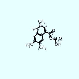 Cc1cc2c(cc1C)C([PH](=O)OCO)=CN(C)N2.O